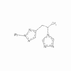 CC(Cc1cnn(C(C)C)n1)n1cnnc1